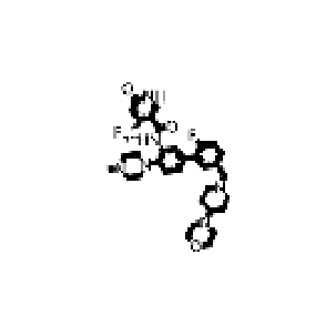 CN1CCN(c2ccc(-c3cc(CN4CCC(N5CCOCC5)CC4)ccc3F)cc2NC(=O)c2c[nH]c(=O)cc2C(F)(F)F)CC1